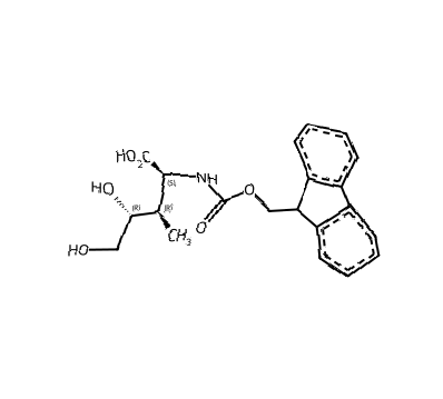 C[C@H]([C@H](NC(=O)OCC1c2ccccc2-c2ccccc21)C(=O)O)[C@@H](O)CO